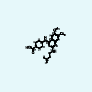 COc1cc2nc(NCCN(C)C)nc(NC3CCN(C(=O)O)CC3)c2cc1OC